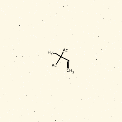 C=CC(C)(C(C)=O)C(C)=O